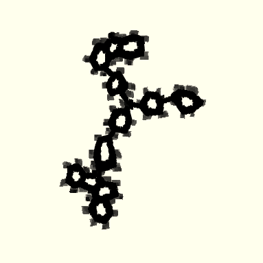 c1ccc(-c2ccc(N(c3ccc(-c4ccc(-n5c6ccccc6c6c7ccccc7ccc65)cc4)cc3)c3ccc(-c4cccc5sc6ccccc6c45)cc3)cc2)cc1